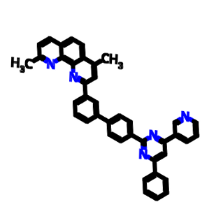 Cc1ccc2ccc3c(C)cc(-c4cccc(-c5ccc(-c6nc(-c7ccccc7)cc(-c7cccnc7)n6)cc5)c4)nc3c2n1